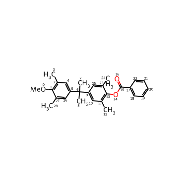 COc1c(C)cc(C(C)(C)c2cc(C)c(OC(=O)c3ccccc3)c(C)c2)cc1C